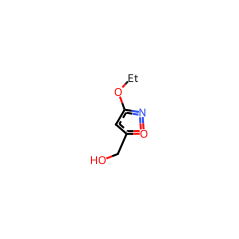 CCOc1cc(CO)on1